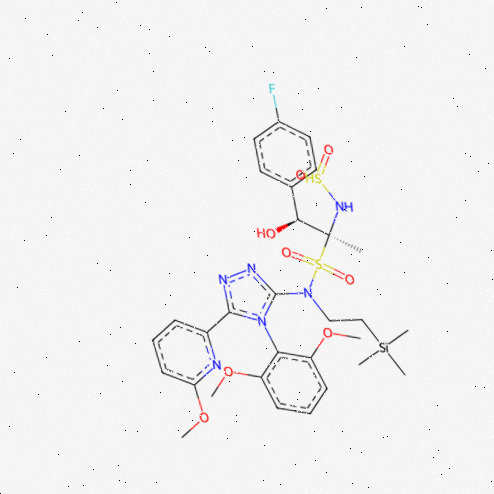 COc1cccc(-c2nnc(N(CC[Si](C)(C)C)S(=O)(=O)[C@](C)(N[SH](=O)=O)[C@@H](O)c3ccc(F)cc3)n2-c2c(OC)cccc2OC)n1